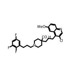 COc1ccc2ncc(Cl)c(CCCC3(C(=O)O)CCN(CCCc4cc(F)cc(F)c4F)CC3)c2c1